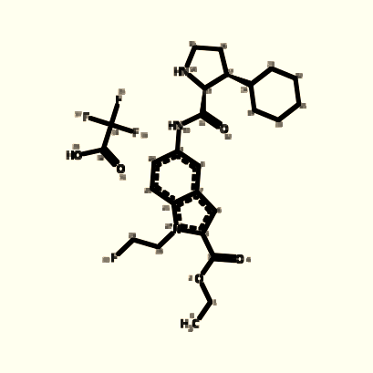 CCOC(=O)c1cc2cc(NC(=O)[C@H]3NCC[C@H]3C3CCCCC3)ccc2n1CCF.O=C(O)C(F)(F)F